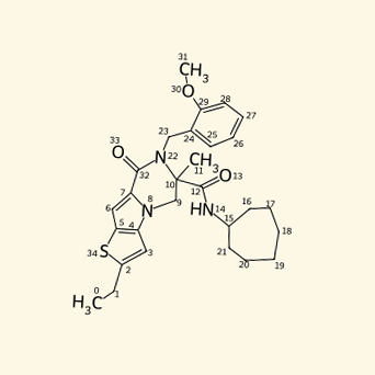 CCc1cc2c(cc3n2CC(C)(C(=O)NC2CCCCCC2)N(Cc2ccccc2OC)C3=O)s1